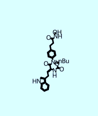 CCCCOC(=O)NC(=CCc1c[nH]c2ccccc12)C(=O)Nc1ccc(CCC(=O)NO)cc1